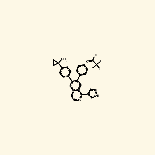 NC1(c2ccc(-c3nc4ccnc(-c5cn[nH]c5)c4cc3-c3ccccc3)cc2)CC1.O=C(O)C(F)(F)F